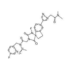 C[C@H](N(Cc1ccc(F)cc1)C(=O)CN1C(=O)N(F)C2(CCc3cc(-c4cnn(CC(=O)N(C)C)c4)ccc32)C1=O)C(F)(F)F